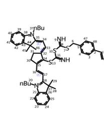 C=Cc1ccc(CSC(=N)SC(=N)SC2=C(/C=C/C3=[N+](CCCC)c4ccccc4C3(C)C)CC/C2=C\C=C2\N(CCCC)c3ccccc3C2(C)C)cc1